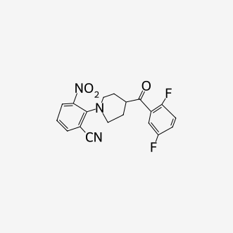 N#Cc1cccc([N+](=O)[O-])c1N1CCC(C(=O)c2cc(F)ccc2F)CC1